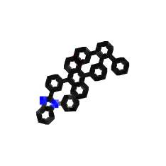 c1ccc(-c2cccc(-c3ccccc3)c2-c2cccc(-c3c4ccccc4c(-c4cccc(-c5nc6ccccc6n5-c5ccccc5)c4)c4ccccc34)c2)cc1